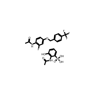 CC(=O)Nc1c(O)cccc1[As](=O)(O)O.CC(=O)Nc1ccc(OCc2ccc(C(F)(F)F)cc2)cc1F